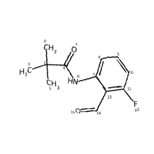 CC(C)(C)C(=O)Nc1cccc(F)c1C=O